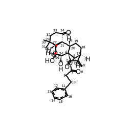 C=C1C(=O)[C@]23[C@H](OC(=O)CCc4ccccc4)[C@H]1CC[C@H]2[C@@]12CO[C@]3(O)[C@@H](O)[C@@H]1C(C)(C)CCC2=O